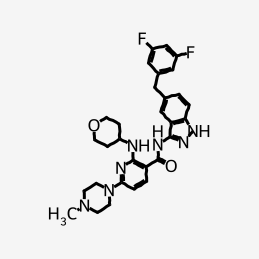 CN1CCN(c2ccc(C(=O)Nc3n[nH]c4ccc(Cc5cc(F)cc(F)c5)cc34)c(NC3CCOCC3)n2)CC1